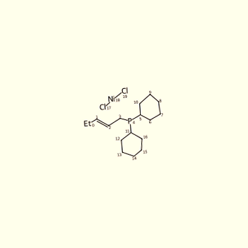 CCC=CCP(C1CCCCC1)C1CCCCC1.[Cl][Ni][Cl]